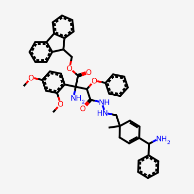 COc1ccc(C(N)(C(=O)OCC2c3ccccc3-c3ccccc32)C(Oc2ccccc2)C(=O)NNCC2(C)C=CC(C(N)c3ccccc3)=CC2)c(OC)c1